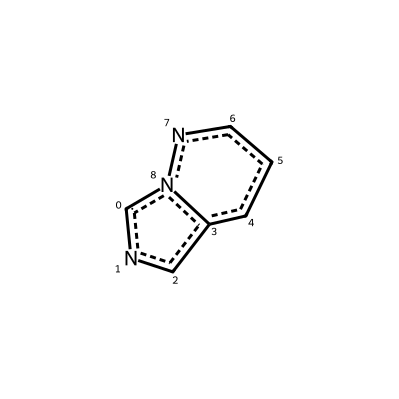 [c]1ncc2cccnn12